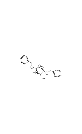 [CH2]CC(NC(=O)OCc1ccccc1)C(=O)OCc1ccccc1